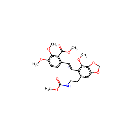 COC(=O)NCCc1cc2c(c(OC)c1/C=C/c1ccc(OC)c(OC)c1C(=O)OC)OCO2